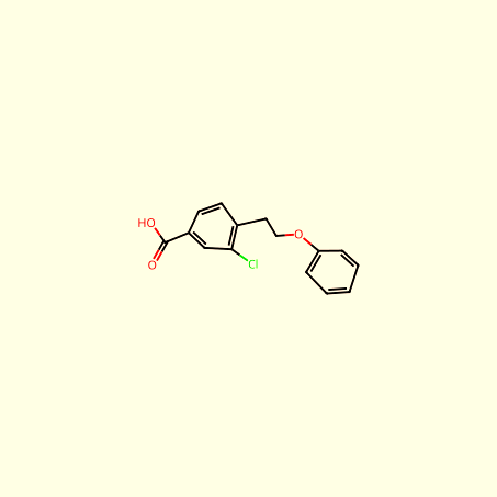 O=C(O)c1ccc(CCOc2ccccc2)c(Cl)c1